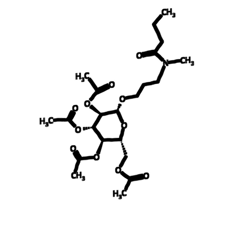 CCCC(=O)N(C)CCCO[C@@H]1O[C@H](COC(C)=O)[C@@H](OC(C)=O)[C@H](OC(C)=O)[C@H]1OC(C)=O